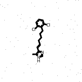 Cc1[nH]cnc1C=CCCCCc1c(Cl)cccc1Cl